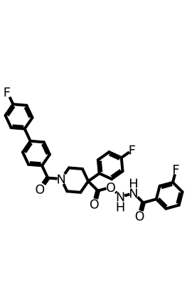 O=C(NNOC(=O)C1(c2ccc(F)cc2)CCN(C(=O)c2ccc(-c3ccc(F)cc3)cc2)CC1)c1cccc(F)c1